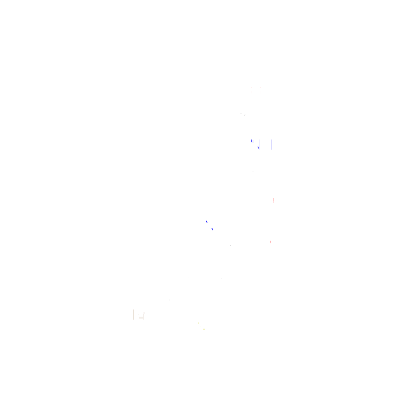 O=C1CCCC(N2Cc3c(csc3Br)C2=O)C(=O)N1